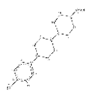 CCCCCCCC1CCC(C2CCC(c3ccc(Cl)nc3)CC2)CC1